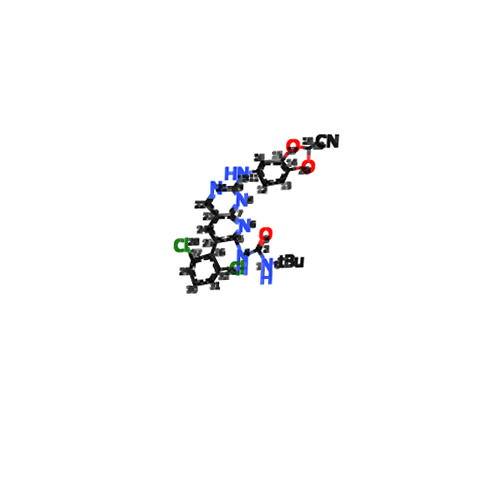 CC(C)(C)NC(=O)Nc1nc2nc(Nc3ccc4c(c3)OC(C#N)O4)ncc2cc1-c1c(Cl)cccc1Cl